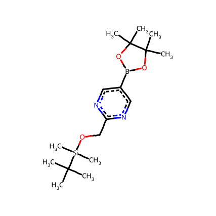 CC1(C)OB(c2cnc(CO[Si](C)(C)C(C)(C)C)nc2)OC1(C)C